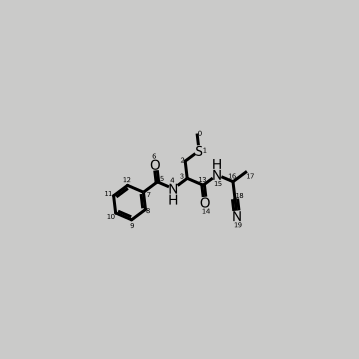 CSCC(NC(=O)c1ccccc1)C(=O)NC(C)C#N